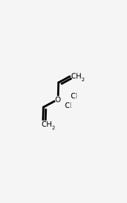 C=COC=C.[C].[C]